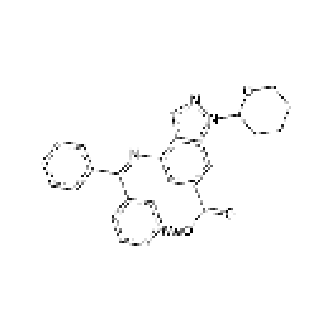 COC(=O)c1cc(N=C(c2ccccc2)c2ccccc2)c2cnn(C3CCCCO3)c2c1